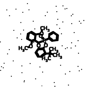 COc1cccc(OC)c1C(=O)P(=O)(Oc1ccccc1C(C)(C)C)c1ccccc1